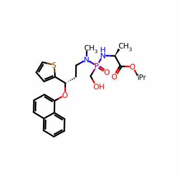 CC(C)OC(=O)[C@H](C)NP(=O)(CO)N(C)CC[C@H](Oc1cccc2ccccc12)c1cccs1